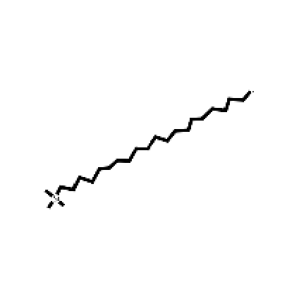 [CH2]CCCCCCCCCCCCCCCCCCCC[Si](C)(C)C